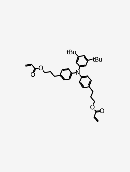 C=CC(=O)OCCCc1ccc(N(c2ccc(CCCOC(=O)C=C)cc2)c2cc(C(C)(C)C)cc(C(C)(C)C)c2)cc1